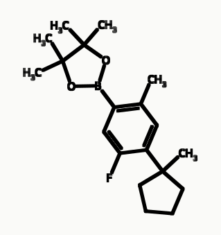 Cc1cc(C2(C)CCCC2)c(F)cc1B1OC(C)(C)C(C)(C)O1